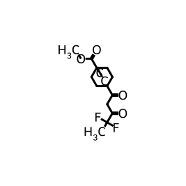 COC(=O)C12CCC(C(=O)CC(=O)C(C)(F)F)(CC1)CC2